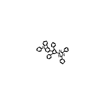 c1ccc(-c2nc(-c3ccccc3)nc(-c3cc(-c4ccccc4)c(-c4ccc5c(c4)c4ccccc4n5-c4ccccc4)c(-c4ccccc4)c3)n2)cc1